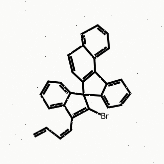 C=C/C=C\C1=C(Br)C2(c3ccccc31)c1ccccc1-c1c2ccc2ccccc12